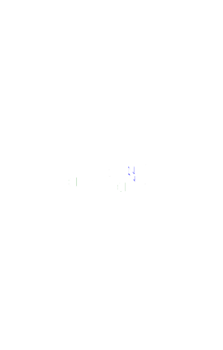 Clc1ccc(Cn2c[c]cn2)c(Cl)c1